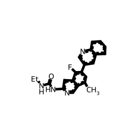 CCNC(=O)Nc1cc2c(F)c(-c3cnc4ccccc4c3)cc(C)c2cn1